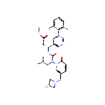 COC(=O)C[C@H](NC(=O)C(CC(C)C)n1cc(CN2CC(F)C2)ccc1=O)c1cncc(-c2c(C)cccc2C)c1